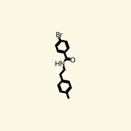 Cc1ccc(CCNC(=O)c2ccc(Br)cc2)cc1